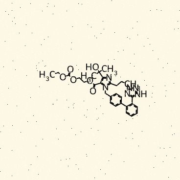 CCCc1nc(C(C)(C)O)c(C(=O)OCCOC(=O)OCC)n1Cc1ccc(-c2ccccc2-c2nnn[nH]2)cc1